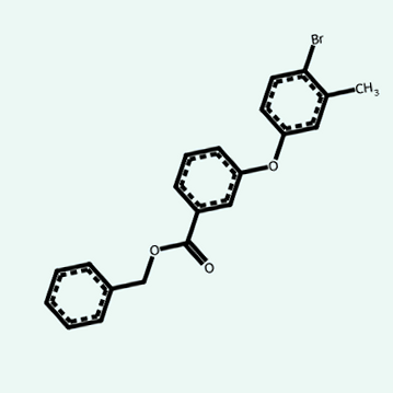 Cc1cc(Oc2cccc(C(=O)OCc3ccccc3)c2)ccc1Br